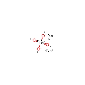 O=[Te](=O)([O-])[O-].[Na+].[Na+]